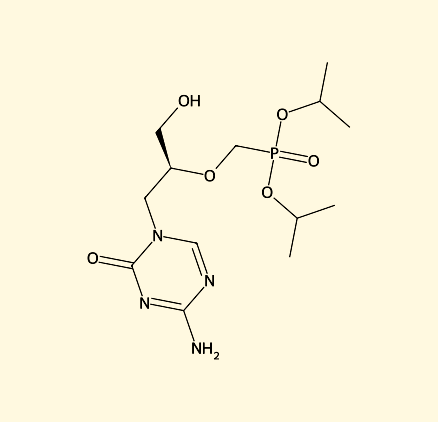 CC(C)OP(=O)(CO[C@H](CO)Cn1cnc(N)nc1=O)OC(C)C